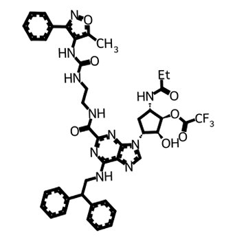 CCC(=O)N[C@H]1C[C@@H](n2cnc3c(NCC(c4ccccc4)c4ccccc4)nc(C(=O)NCCNC(=O)Nc4c(-c5ccccc5)noc4C)nc32)[C@H](O)[C@@H]1OC(=O)C(F)(F)F